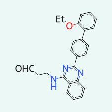 CCOc1ccccc1-c1ccc(-c2nc(NCCC=O)c3ccccc3n2)cc1